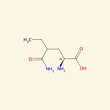 CCC(C[C@H](N)C(=O)O)C(N)=O